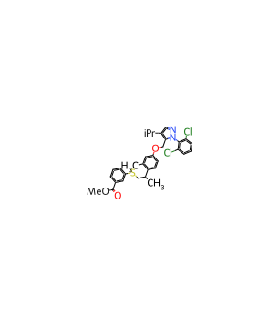 COC(=O)c1cccc(SCC(C)c2ccc(OCc3c(C(C)C)cnn3-c3c(Cl)cccc3Cl)cc2C)c1